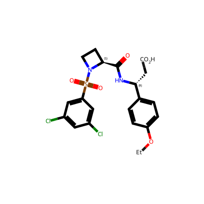 CCOc1ccc([C@@H](CC(=O)O)NC(=O)[C@@H]2CCN2S(=O)(=O)c2cc(Cl)cc(Cl)c2)cc1